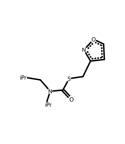 CC(C)CN(C(=O)SCc1ccon1)C(C)C